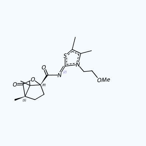 COCCn1c(C)c(C)s/c1=N\C(=O)[C@]12CC[C@](C)(C(=O)O1)C2(C)C